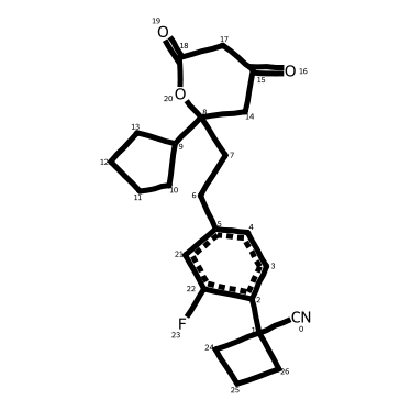 N#CC1(c2ccc(CCC3(C4CCCC4)CC(=O)CC(=O)O3)cc2F)CCC1